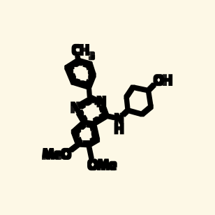 COc1cc2nc(-c3ccc(C)cc3)nc(NC3CCC(O)CC3)c2cc1OC